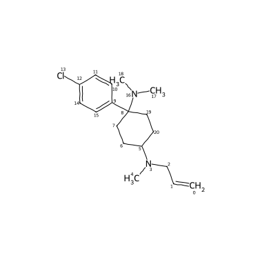 C=CCN(C)C1CCC(c2ccc(Cl)cc2)(N(C)C)CC1